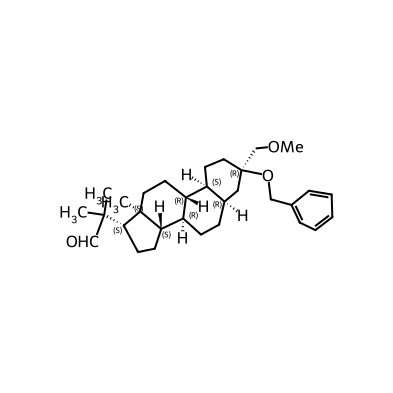 COC[C@@]1(OCc2ccccc2)CC[C@H]2[C@H](CC[C@@H]3[C@@H]2CC[C@]2(C)[C@@H](C(C)(C)C=O)CC[C@@H]32)C1